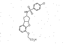 O=C(O)COc1cccc2c1OC1CC(NS(=O)(=O)c3ccc(Cl)cc3)CC21